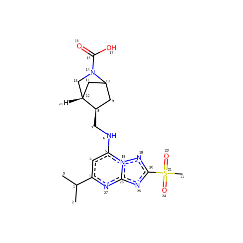 CC(C)c1cc(NC[C@@H]2CC3C[C@H]2CN3C(=O)O)n2nc(S(C)(=O)=O)nc2n1